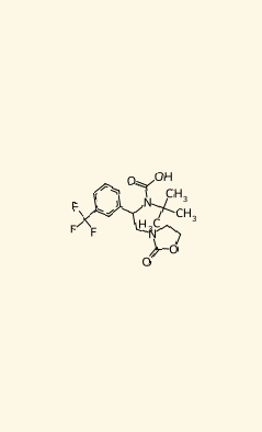 CC(C)(C)N(C(=O)O)C(CN1CCOC1=O)c1cccc(C(F)(F)F)c1